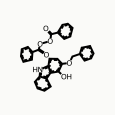 O=C(OOC(=O)c1ccccc1)c1ccccc1.Oc1c(OCc2ccccc2)ccc2[nH]c3ccccc3c12